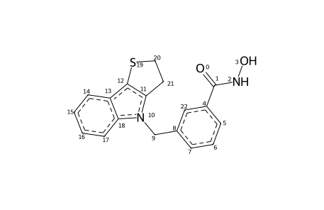 O=C(NO)c1cccc(Cn2c3c(c4ccccc42)SCC3)c1